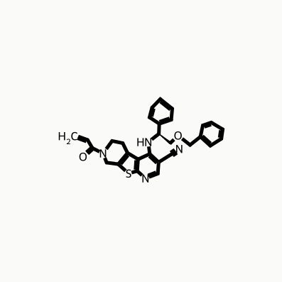 C=CC(=O)N1CCc2c(sc3ncc(C#N)c(N[C@H](COCc4ccccc4)c4ccccc4)c23)C1